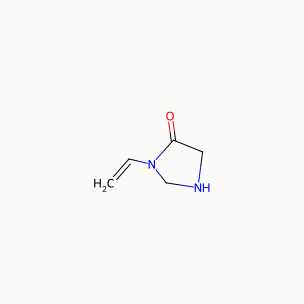 C=CN1CNCC1=O